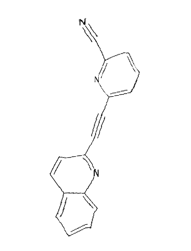 N#Cc1cccc(C#Cc2ccc3ccccc3n2)n1